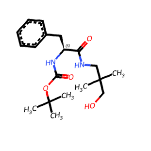 CC(C)(CO)CNC(=O)[C@H](Cc1ccccc1)NC(=O)OC(C)(C)C